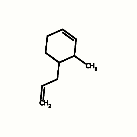 C=CCC1CCC=CC1C